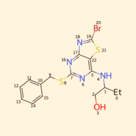 CCC(CO)Nc1nc(SCc2ccccc2)nc2nc(Br)sc12